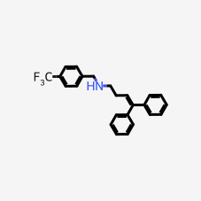 FC(F)(F)c1ccc(CNCCC=C(c2ccccc2)c2ccccc2)cc1